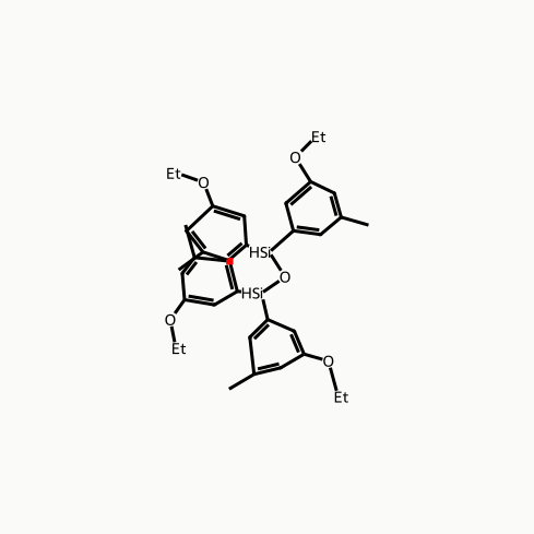 CCOc1cc(C)cc([SiH](O[SiH](c2cc(C)cc(OCC)c2)c2cc(C)cc(OCC)c2)c2cc(C)cc(OCC)c2)c1